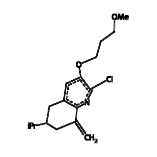 C=C1CC(C(C)C)Cc2cc(OCCCOC)c(Cl)nc21